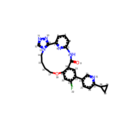 O=C1Nc2cccc(n2)-c2nncn2CCCCOc2cc(F)c(-c3ccc(C4CC4)nc3)cc21